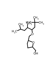 CC(C)CC(C)C(CC(C)(C)C)OCC1CCC(CO)O1